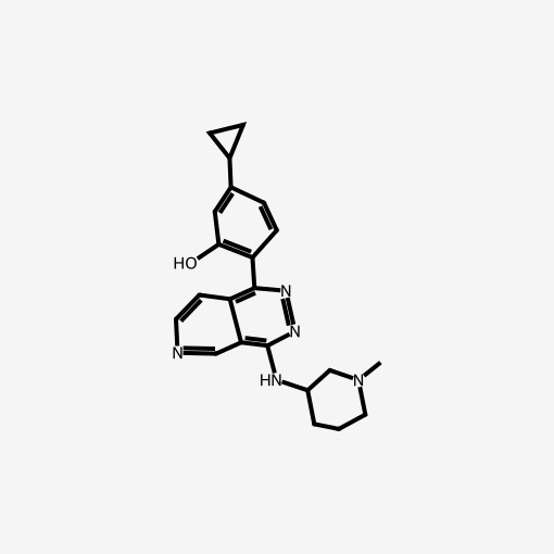 CN1CCCC(Nc2nnc(-c3ccc(C4CC4)cc3O)c3ccncc23)C1